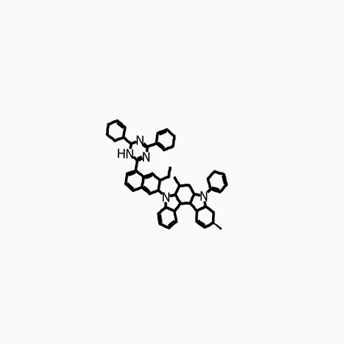 CCC1C=c2c(C3=NC(C4=CCCC=C4)=NC(C4C=CCCC4)N3)cccc2=CC1N1C2C=CC=CC2C2C3C4C=C[C@H](C)CC4N(C4=CC=CCC4)C3CC(C)C21